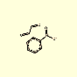 O=CC=O.O=[N+]([O-])c1ccccc1